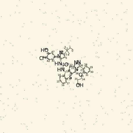 CCC(C)(C)c1cc(NC(=O)NCc2ccccc2Sc2ccc3nnc(-c4ccccc4OCCO)n3c2)n(-c2ccc(Cl)c(O)c2)n1